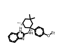 CCOc1ccc([C@]2(Nc3nc4ccccc4[nH]3)C[C@H](C)CC(C)(C)C2)cc1